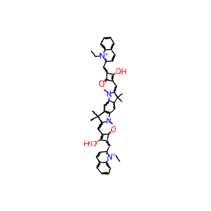 CC[n+]1c(C=C2C(=O)C(C=C3N(C)c4cc5c(cc4C3(C)C)N(C)C(=CC3=C(O)C(=Cc4ccc6ccccc6[n+]4CC)C3=O)C5(C)C)=C2O)ccc2ccccc21